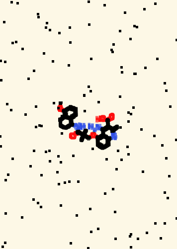 COc1cccc2c1CCCC2NC(=O)C(C)(C)COc1cccc2nc(C)c(C(=O)O)c(N)c12